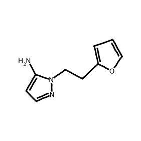 Nc1ccnn1CCc1ccco1